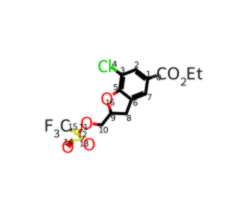 CCOC(=O)c1cc(Cl)c2c(c1)CC(COS(=O)(=O)C(F)(F)F)O2